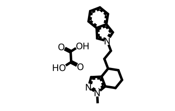 Cn1ncc2c1CCCC2CCn1cc2ccccc2c1.O=C(O)C(=O)O